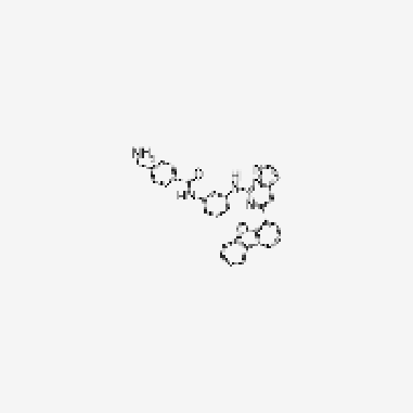 NCc1ccc(C(=O)Nc2cccc(Nc3nc(-c4cccc5c4oc4ccccc45)cc4ccnn34)c2)cc1